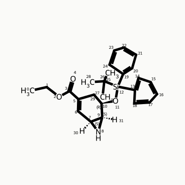 CCOC(=O)C1=C[C@@H]2N[C@@H]2[C@H](O[Si](c2ccccc2)(c2ccccc2)C(C)(C)C)C1